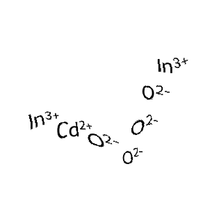 [Cd+2].[In+3].[In+3].[O-2].[O-2].[O-2].[O-2]